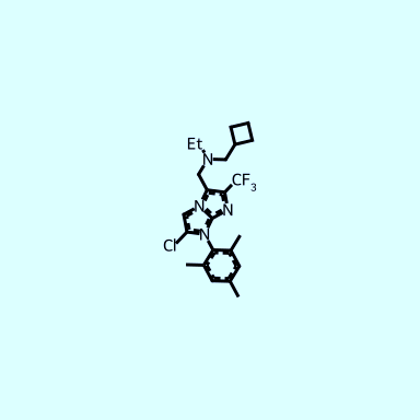 CCN(Cc1c(C(F)(F)F)nc2n(-c3c(C)cc(C)cc3C)c(Cl)cn12)CC1CCC1